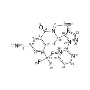 C#CCN(C(=O)c1cc(C#N)cc(C(F)(F)F)c1)C(C)c1ncnn1-c1ncccn1